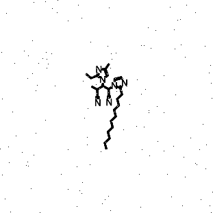 CCCCCCCCCCCc1nccn1C(C#N)C(C(C)C#N)n1cc(C)nc1CC